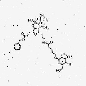 CO[C@H]1C(OP(=O)(O)OC(C)(C)C)[C@@H](COC(=O)OCc2ccccc2)O[C@H]1CCCNC(=O)CCCCO[C@@H]1O[C@H](CO)[C@H](O)[C@H](O)[C@H]1C